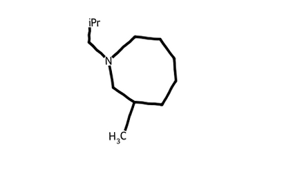 CC(C)CN1CCCCCC(C)C1